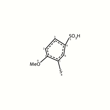 COc1ccc(S(=O)(=O)O)cc1[S]